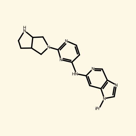 CC(C)n1cnc2cnc(Nc3ccnc(N4CC5CCNC5C4)n3)cc21